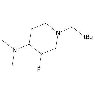 CN(C)C1CCN(CC(C)(C)C)CC1F